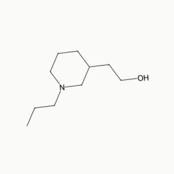 CCCN1CCCC(CCO)C1